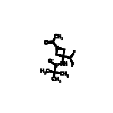 CC(=O)N1CC(N[S+]([O-])C(C)(C)C)(C(F)F)C1